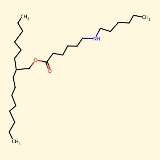 CCCCCCCCC(CCCCCC)COC(=O)CCCCCNCCCCCC